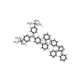 CC(C)(C)c1ccc(N(c2ccc(-c3ccccc3-c3ccccc3-c3ccc(-c4nnc(-c5ccccc5)n4-c4ccccc4)cc3)cc2)c2ccc(C(C)(C)C)cc2)cc1